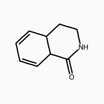 O=C1NCCC2C=C[C]=CC12